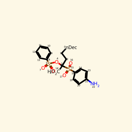 CCCCCCCCCCCCC(OS(=O)(=O)c1ccccc1)(C(=O)O)S(=O)(=O)c1ccc(N)cc1